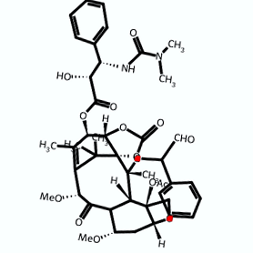 CO[C@H]1C(=O)C2[C@@H](OC)C[C@H]3OC[C@@]3(OC(C)=O)[C@H]2[C@@](C)(OC(C=O)c2ccccc2)[C@]23OC(=O)O[C@H]2[C@H](OC(=O)[C@H](O)[C@@H](NC(=O)N(C)C)c2ccccc2)C(C)=C1C3(C)C